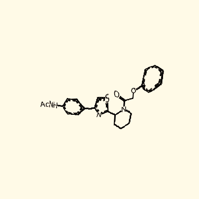 CC(=O)Nc1ccc(-c2csc(C3CCCCN3C(=O)COc3ccccc3)n2)cc1